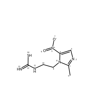 Cc1ncc([N+](=O)[O-])n1CCNC(=N)S